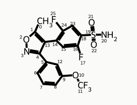 Cc1onc(-c2cccc(OC(F)(F)F)c2)c1-c1cc(F)c(S(N)(=O)=O)cc1F